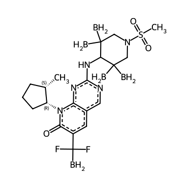 BC(F)(F)c1cc2cnc(NC3C(B)(B)CN(S(C)(=O)=O)CC3(B)B)nc2n([C@@H]2CCC[C@@H]2C)c1=O